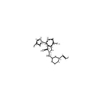 CC=CN1CCCC(NN2Cc3c(F)cnc(-n4cc(C)cn4)c3C2=O)C1